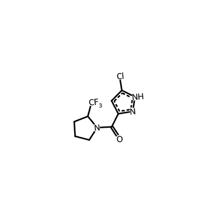 O=C(c1cc(Cl)[nH]n1)N1CCCC1C(F)(F)F